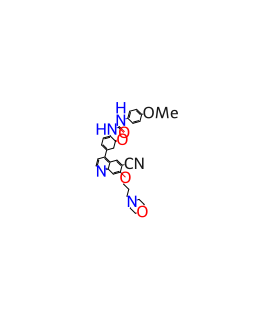 COc1ccc(NC(=O)NC2=CC=C(c3ccnc4cc(OCCCN5CCOCC5)c(C#N)cc34)CC2=O)cc1